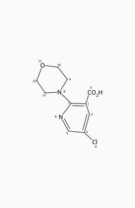 O=C(O)c1cc(Cl)cnc1N1CCOCC1